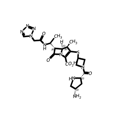 CC(NC(=O)Cn1cnnn1)[C@H]1C(=O)N2C(C(=O)O)=C(SC3CN(C(=O)[C@@H]4C[C@H](N)CN4)C3)[C@H](C)[C@H]12